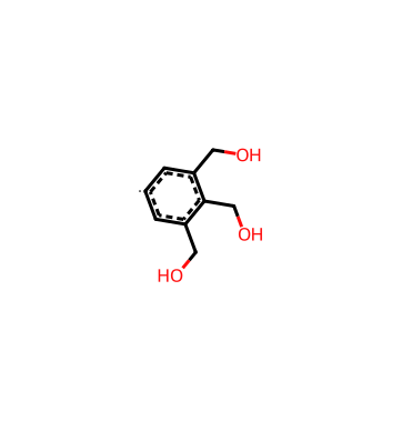 OCc1c[c]cc(CO)c1CO